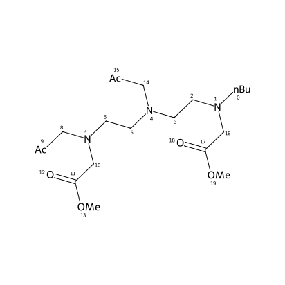 CCCCN(CCN(CCN(CC(C)=O)CC(=O)OC)CC(C)=O)CC(=O)OC